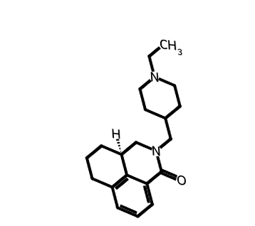 CCN1CCC(CN2C[C@@H]3CCCc4cccc(c43)C2=O)CC1